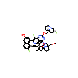 COCC12CCC(CN(c3nc(OC[C@@]45CCCN4C[C@H](F)C5)nc4c(F)c(-c5cc(O)cc6ccc(F)c(C#C[Si](C(C)C)(C(C)C)C(C)C)c56)ncc34)C1)N2